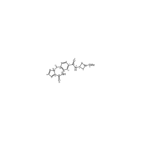 CSN1CC(NC(=O)c2ccc3c(c2)NC(=O)c2cccn2S3)C1